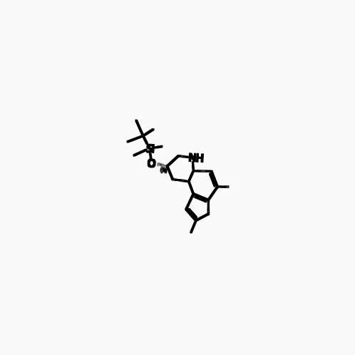 CC1=CC2=C(C1)C(C)=CC1NC[C@@H](O[Si](C)(C)C(C)(C)C)CC21